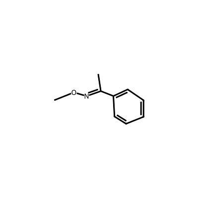 CON=C(C)c1ccccc1